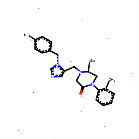 CCCCC1CN(c2ccccc2C)C(=O)CN1Cc1cncn1Cc1ccc(C#N)cc1